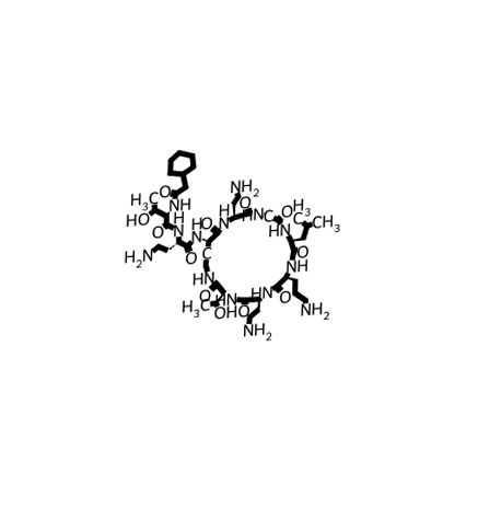 CC(C)C[C@@H]1NC(=O)CNC(=O)[C@H](CCN)NC(=O)[C@@H](NC(=O)[C@H](CCN)NC(=O)[C@@H](NC(=O)CC2CCCCC2)C(C)O)CCNC(=O)[C@H](C(C)O)NC(=O)[C@H](CCN)NC(=O)[C@H](CCCN)NC1=O